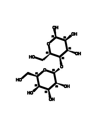 OC[C@@H]1O[C@@H](O)[C@@H](O)[C@H](O)[C@H]1O[C@H]1O[C@H](CO)[C@H](O)[C@H](O)[C@H]1O